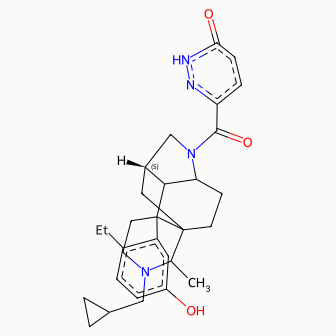 CCc1ccc(O)cc1C12CCN(CC3CC3)C(C)C13CCC1C2[C@@H](CN1C(=O)c1ccc(=O)[nH]n1)C3